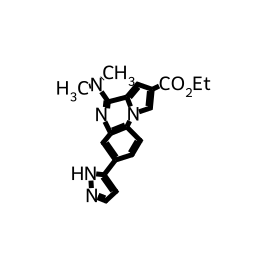 CCOC(=O)c1cc2c(N(C)C)nc3cc(-c4ccn[nH]4)ccc3n2c1